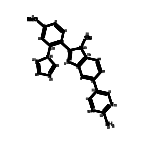 COc1ccc(-c2nc3cc(-c4cnc(N)nc4)ccc3n2C(C)(C)C)c(-n2cncn2)c1